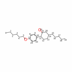 CCCCCCOc1ccc(C2CCC(CCCCC)CC2=O)cc1